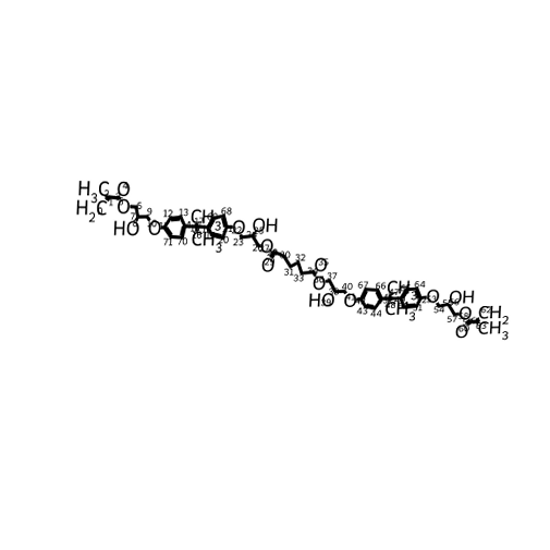 C=C(C)C(=O)OCC(O)COc1ccc(C(C)(C)c2ccc(OCC(O)COC(=O)CCCCC(=O)OCC(O)COc3ccc(C(C)(C)c4ccc(OCC(O)COC(=O)C(=C)C)cc4)cc3)cc2)cc1